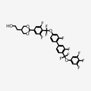 OCCC1COC(c2cc(F)c(C(F)(F)Oc3ccc(-c4ccc(C(F)(F)Oc5cc(F)c(F)c(F)c5)c(F)c4)c(F)c3)c(F)c2)OC1